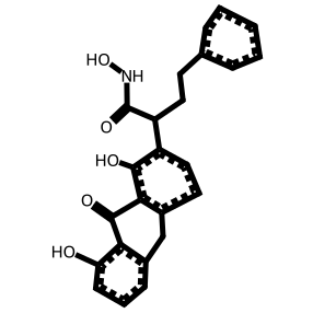 O=C1c2c(O)cccc2Cc2ccc(C(CCc3ccccc3)C(=O)NO)c(O)c21